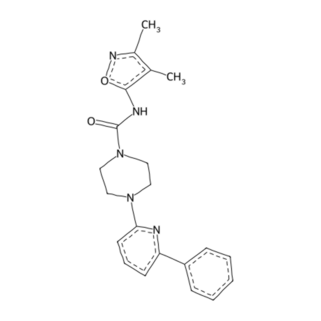 Cc1noc(NC(=O)N2CCN(c3cccc(-c4ccccc4)n3)CC2)c1C